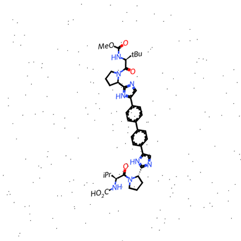 COC(=O)N[C@H](C(=O)N1CCCC1c1ncc(-c2ccc(-c3ccc(-c4cnc([C@@H]5CCCN5C(=O)[C@@H](NC(=O)O)C(C)C)[nH]4)cc3)cc2)[nH]1)C(C)(C)C